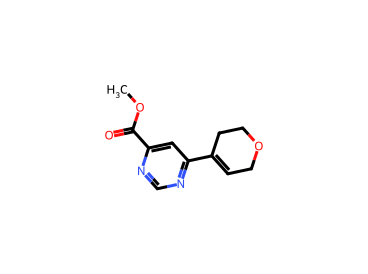 COC(=O)c1cc(C2=CCOCC2)ncn1